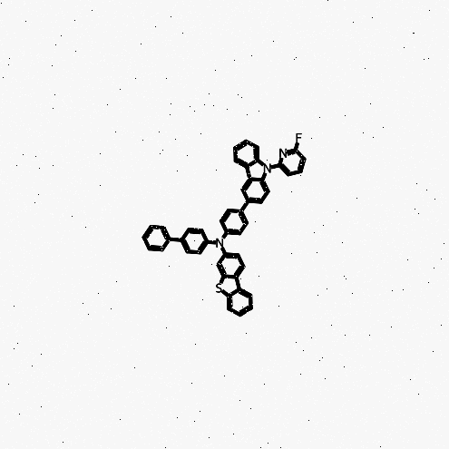 Fc1cccc(-n2c3ccccc3c3cc(-c4ccc(N(c5ccc(-c6ccccc6)cc5)c5ccc6c(c5)sc5ccccc56)cc4)ccc32)n1